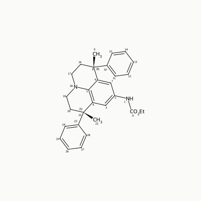 CCOC(=O)Nc1cc2c3c(c1)[C@@](C)(c1ccccc1)CCN3CC[C@@]2(C)c1ccccc1